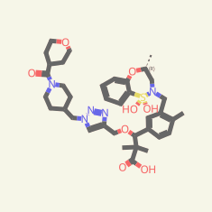 Cc1ccc(C(OCc2cn(CC3CCN(C(=O)C4CCOCC4)CC3)nn2)C(C)(C)C(=O)O)cc1CN1C[C@@H](C)Oc2ccccc2S1(O)O